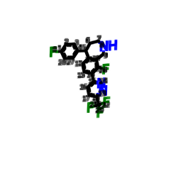 Fc1ccc(C2CCNCc3c2ccc(-c2ccc(C(F)(F)F)nn2)c3F)cc1